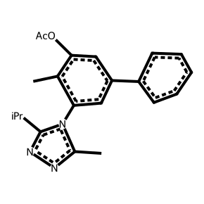 CC(=O)Oc1cc(-c2ccccc2)cc(-n2c(C)nnc2C(C)C)c1C